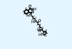 O=C(CCc1nc(-c2ccc[nH]2)no1)NCCCNc1n[nH]c(=O)c2ccccc12